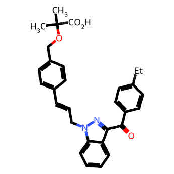 CCc1ccc(C(=O)c2nn(CC=Cc3ccc(COC(C)(C)C(=O)O)cc3)c3ccccc23)cc1